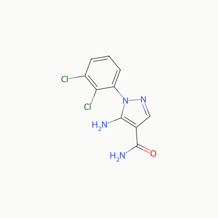 NC(=O)c1cnn(-c2cccc(Cl)c2Cl)c1N